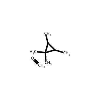 C=O.CC1C(C)C1(C)C